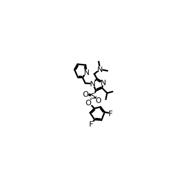 CC(C)c1nc(CN(C)C)n(Cc2ccccn2)c1S(=O)(=O)Oc1cc(F)cc(F)c1